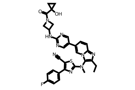 CCc1nc2ccc(-c3cnc(NC4CN(C(=O)C5(O)CC5)C4)nc3)cn2c1N(C)c1nc(-c2ccc(F)cc2)c(C#N)s1